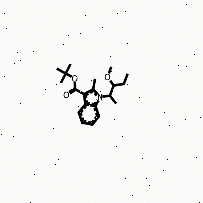 CCC(OC)C(C)n1c(C)c(C(=O)OC(C)(C)C)c2ccccc21